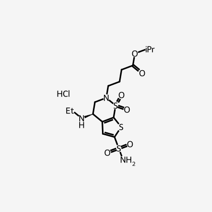 CCN[C@H]1CN(CCCC(=O)OC(C)C)S(=O)(=O)c2sc(S(N)(=O)=O)cc21.Cl